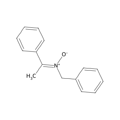 CC(c1ccccc1)=[N+]([O-])Cc1ccccc1